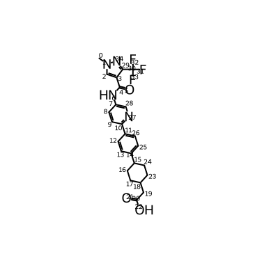 Cn1cc(C(=O)Nc2ccc(-c3ccc(C4CCC(CC(=O)O)CC4)cc3)nc2)c(C(F)(F)F)n1